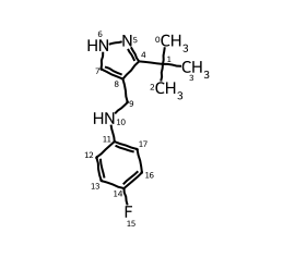 CC(C)(C)c1n[nH]cc1CNc1ccc(F)cc1